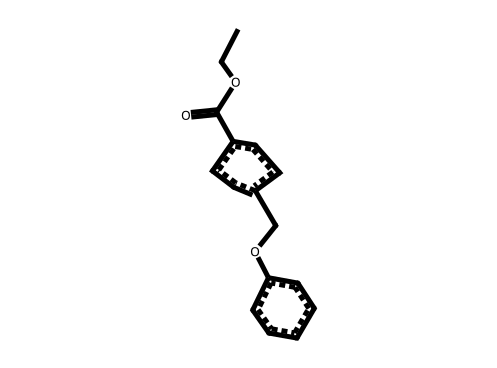 CCOC(=O)c1ccc(COc2ccccc2)cc1